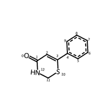 O=C1C=C(c2ccccc2)SCN1